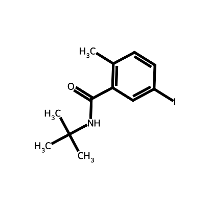 Cc1ccc(I)cc1C(=O)NC(C)(C)C